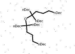 CCCCCCCCCCCCCC(CCCCCCCCCC)(CCCCCCCCCC)OC(CCCCCCCCCC)(CCCCCCCCCC)CCCCCCCCCCCCC